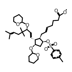 COC(=O)CCCC=CC[C@@H]1[C@@H](C=C[C@H](OC2CCCCO2)C(C)(C)CC=C(C)C)[C@H](OC2CCCCO2)C[C@@H]1OS(=O)(=O)c1ccc(C)cc1